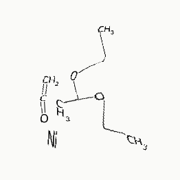 C=C=O.CCOC(C)OCC.[Ni]